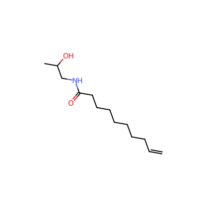 C=CCCCCCCCC(=O)NCC(C)O